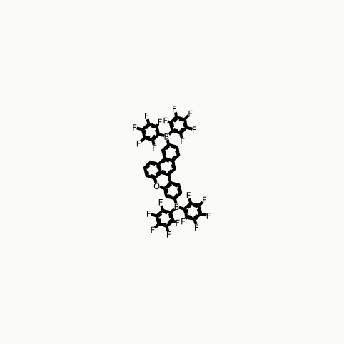 Fc1c(F)c(F)c(B(c2ccc3c(c2)Oc2cccc4c2c-3cc2ccc(B(c3c(F)c(F)c(F)c(F)c3F)c3c(F)c(F)c(F)c(F)c3F)cc24)c2c(F)c(F)c(F)c(F)c2F)c(F)c1F